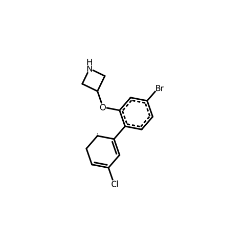 ClC1=CC[CH]C(c2ccc(Br)cc2OC2CNC2)=C1